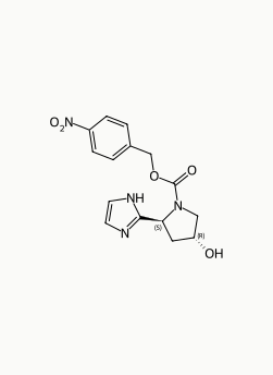 O=C(OCc1ccc([N+](=O)[O-])cc1)N1C[C@H](O)C[C@H]1c1ncc[nH]1